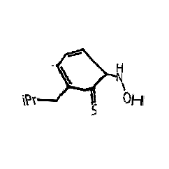 CC(C)CC1=[C]C=CC(NO)C1=S